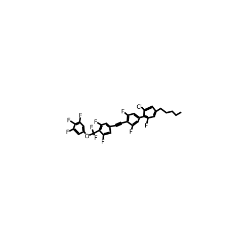 CCCCCc1cc(F)c(-c2cc(F)c(C#Cc3cc(F)c(C(F)(F)Oc4cc(F)c(F)c(F)c4)c(F)c3)c(F)c2)c(Cl)c1